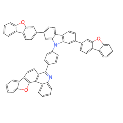 c1ccc2c(c1)nc(-c1ccc(-n3c4cc(-c5ccc6c(c5)oc5ccccc56)ccc4c4ccc(-c5ccc6c(c5)oc5ccccc56)cc43)cc1)c1ccc3c4ccccc4oc3c12